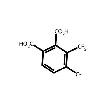 [O]c1ccc(C(=O)O)c(C(=O)O)c1C(F)(F)F